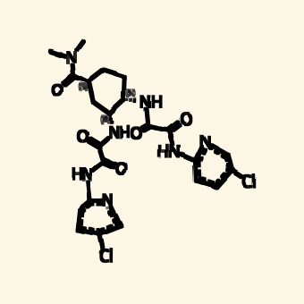 CN(C)C(=O)[C@H]1CC[C@H](NC(=O)C(=O)Nc2ccc(Cl)cn2)[C@H](NC(=O)C(=O)Nc2ccc(Cl)cn2)C1